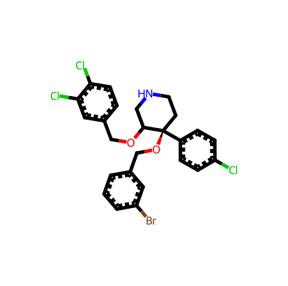 Clc1ccc([C@@]2(OCc3cccc(Br)c3)CCNCC2OCc2ccc(Cl)c(Cl)c2)cc1